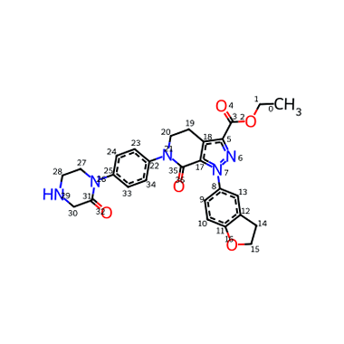 CCOC(=O)c1nn(-c2ccc3c(c2)CCO3)c2c1CCN(c1ccc(N3CCNCC3=O)cc1)C2=O